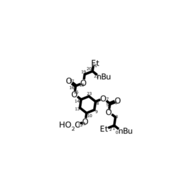 CCCCC(CC)COC(=O)OC1CC(OC(=O)O)CC(OC(=O)OCC(CC)CCCC)C1